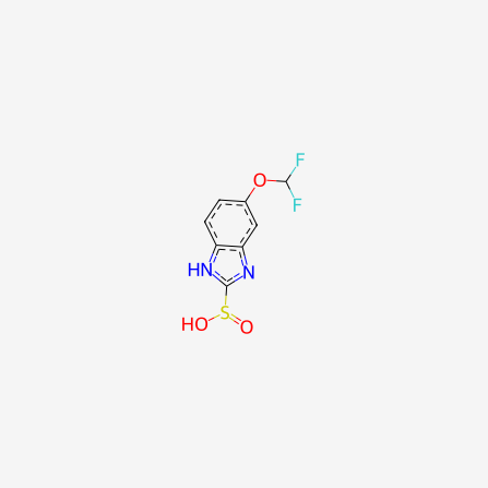 O=S(O)c1nc2cc(OC(F)F)ccc2[nH]1